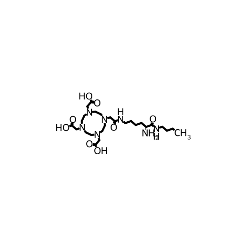 CCCCNC(=O)[C@H](N)CCCCNC(=O)CN1CCN(CC(=O)O)CCN(CC(=O)O)CCN(CC(=O)O)CC1